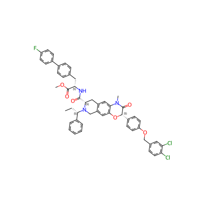 CC[C@@H](c1ccccc1)N1Cc2cc3c(cc2C[C@H]1C(=O)N[C@@H](Cc1ccc(-c2ccc(F)cc2)cc1)C(=O)OC)N(C)C(=O)[C@H](c1ccc(OCc2ccc(Cl)c(Cl)c2)cc1)O3